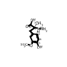 COc1cc(C[C@](C)(NN)C(=O)O)ccc1O